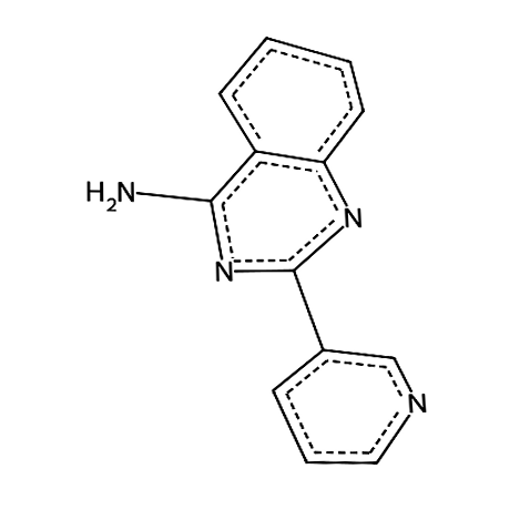 Nc1nc(-c2cccnc2)nc2ccccc12